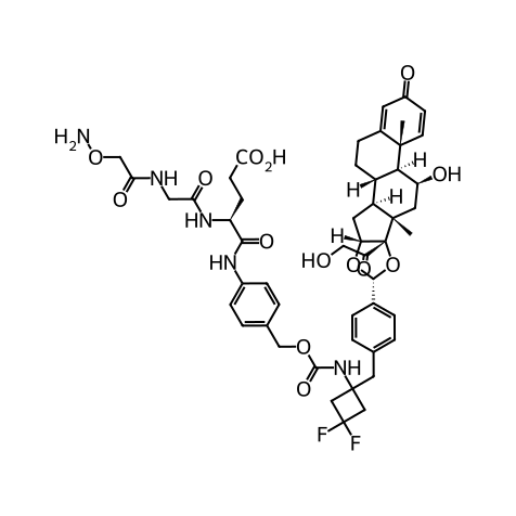 C[C@]12C=CC(=O)C=C1CC[C@@H]1[C@@H]2[C@@H](O)C[C@@]2(C)[C@H]1C[C@H]1O[C@@H](c3ccc(CC4(NC(=O)OCc5ccc(NC(=O)[C@H](CCC(=O)O)NC(=O)CNC(=O)CON)cc5)CC(F)(F)C4)cc3)O[C@]12C(=O)CO